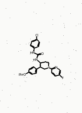 COc1ccc(C2CN(c3ccc(F)cn3)CCC2NC(=O)Nc2ccc(Cl)cc2)cc1